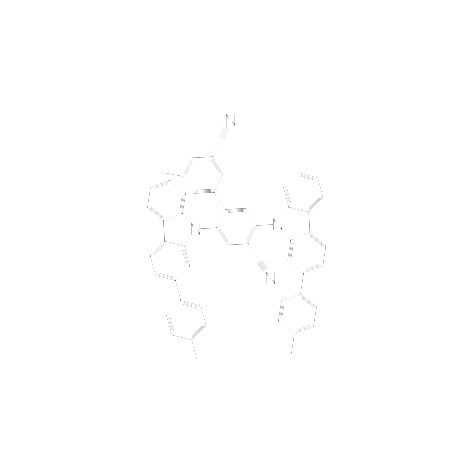 Cc1ccc(-c2ccc3c4ccccc4n(-c4cc(-c5cc(C)cc(C#N)c5)c(-n5c6ccccc6c6ccc(-c7ccc(C)cc7)cc65)cc4C#N)c3c2)cc1